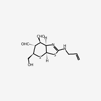 C=CCNC1=N[C@H]2[C@@H](S1)S[C@@H](CO)[C@H](C=O)[C@H]2C=O